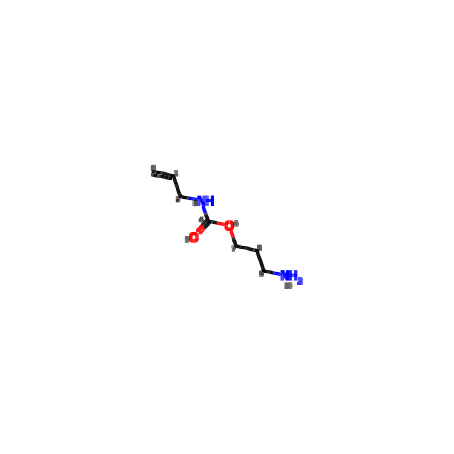 C=CCNC(=O)OCCCN